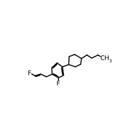 CCCCC1CCC(c2ccc(CC=CF)c(F)c2)CC1